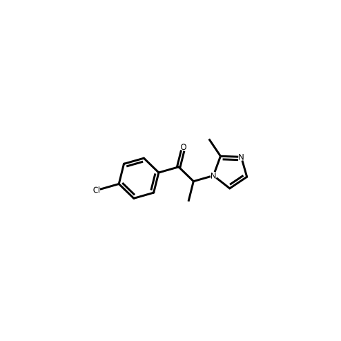 Cc1nccn1C(C)C(=O)c1ccc(Cl)cc1